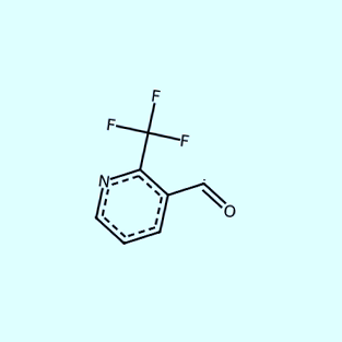 O=[C]c1cccnc1C(F)(F)F